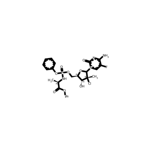 CC(C)OC(=O)[C@@H](C)NP(=O)(OC[C@H]1OC(n2cc(F)c(N)nc2=O)[C@](C)(Cl)[C@@H]1O)Oc1ccccc1